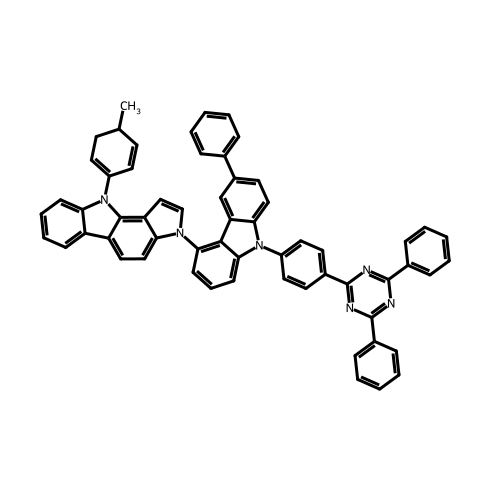 CC1C=CC(n2c3ccccc3c3ccc4c(ccn4-c4cccc5c4c4cc(-c6ccccc6)ccc4n5-c4ccc(-c5nc(-c6ccccc6)nc(-c6ccccc6)n5)cc4)c32)=CC1